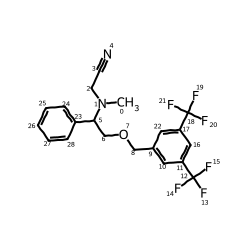 CN(CC#N)C(COCc1cc(C(F)(F)F)cc(C(F)(F)F)c1)c1ccccc1